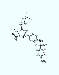 Cc1n[nH]c2nc(-c3ccc(NS(=O)(=O)c4ccc(N)nc4)cc3)nc(NCCN(C)C)c12